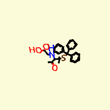 CC(=O)C(NCC(=O)O)C(C)(C)SC(c1ccccc1)(c1ccccc1)c1ccccc1